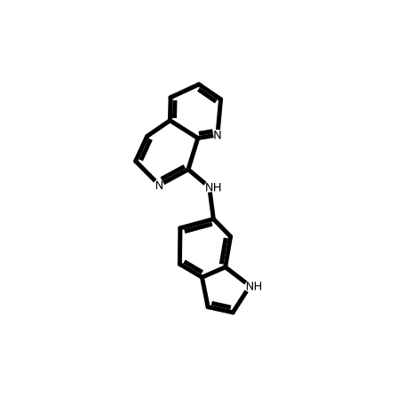 c1cnc2c(Nc3ccc4cc[nH]c4c3)nccc2c1